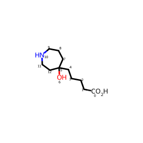 O=C(O)CCCCC1(O)CCCNCC1